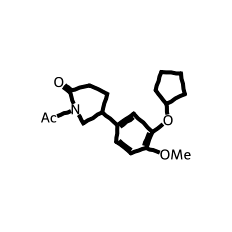 COc1ccc(C2CCC(=O)N(C(C)=O)C2)cc1OC1CCCC1